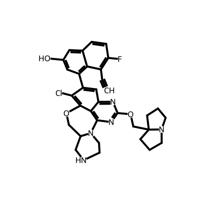 C#Cc1c(F)ccc2cc(O)cc(-c3cc4nc(OCC56CCCN5CCC6)nc5c4c(c3Cl)OCC3CNCCN53)c12